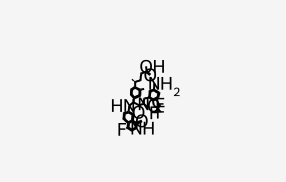 Cc1cc(C(Nc2ccc3c(F)c[nH]c(=O)c3c2)C(=O)N(C)Cc2cc(N)ccc2OC(F)(F)F)ccc1[C@@H](C)CCC(=O)O